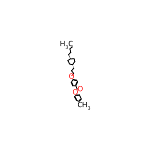 CCCCC[C@H]1CC[C@H](CCCOc2ccc(C(=O)Oc3ccc(C)cc3)cc2)CC1